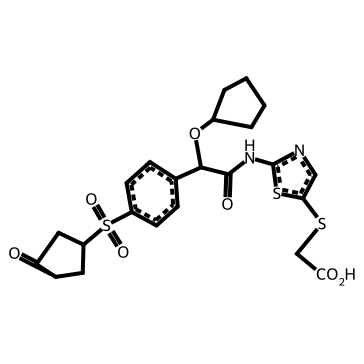 O=C(O)CSc1cnc(NC(=O)C(OC2CCCC2)c2ccc(S(=O)(=O)C3CCC(=O)C3)cc2)s1